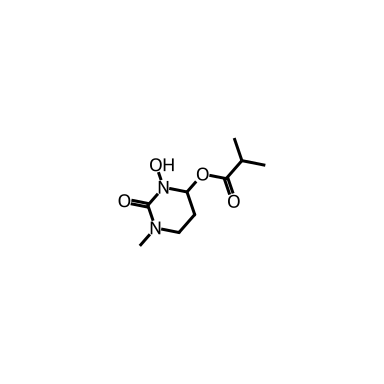 CC(C)C(=O)OC1CCN(C)C(=O)N1O